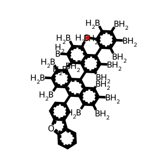 Bc1c(B)c(B)c(-c2c(B)c(B)c(-c3c4c(B)c(B)c(B)c(B)c4c(-c4ccc5oc6ccccc6c5c4)c4c(B)c(B)c(B)c(B)c34)c3c(B)c(B)c(B)c(B)c23)c(B)c1B